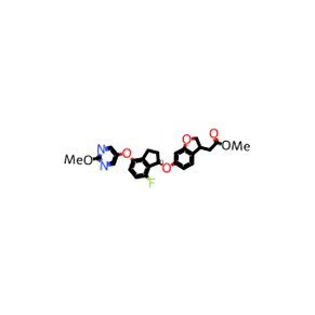 COC(=O)CC1COc2cc(O[C@@H]3CCc4c(Oc5cnc(OC)nc5)ccc(F)c43)ccc21